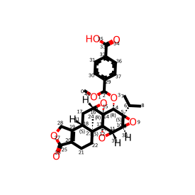 COC(O[C@@H]1[C@@]2(C(C)C)O[C@H]2[C@@H]2O[C@]23[C@]12O[C@H]2C[C@H]1C2=C(CC[C@@]13C)C(=O)OC2)c1ccc(C(=O)O)cc1